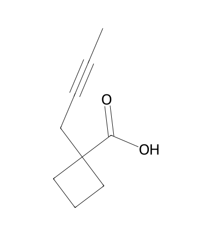 CC#CCC1(C(=O)O)CCC1